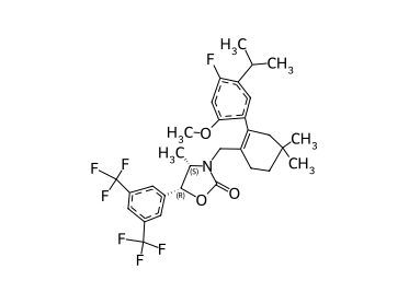 COc1cc(F)c(C(C)C)cc1C1=C(CN2C(=O)O[C@H](c3cc(C(F)(F)F)cc(C(F)(F)F)c3)[C@@H]2C)CCC(C)(C)C1